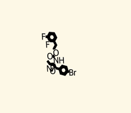 Cc1noc(-c2ccc(Br)cc2)c1NC(=O)OCCc1cccc(F)c1F